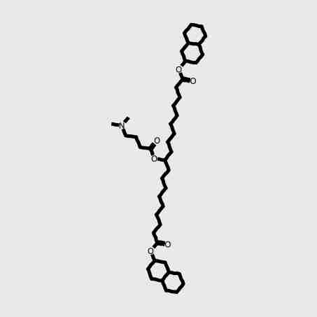 CN(C)CCCC(=O)OC(CCCCCCCCC(=O)OC1CCC2CCCCC2C1)CCCCCCCCC(=O)OC1CCC2CCCCC2C1